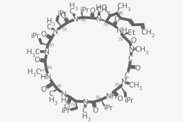 C=CC=CC[C@@H](C)[C@@H](O)[C@H]1C(=O)N[C@@H](CC)C(=O)N(C)CC(=O)CN(C)[C@@H](CC(C)C)C(=O)N[C@@H](C(C)C)C(=O)N(C)[C@@H](CC(C)C)C(=O)N[C@@H](C)C(=O)N[C@H](C)C(=O)N(C)[C@@H](CC(C)C)C(=O)N(C)[C@@H](CC(C)C)C(=O)N(C)[C@@H](C(C)C)C(=O)N1C